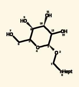 CCCCCCCCO[C@@H]1OC(CO)[C@H](O)[C@H](O)C1O